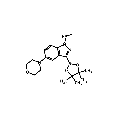 CC1(C)OB(c2nn(PI)c3ccc(N4CCOCC4)cc23)OC1(C)C